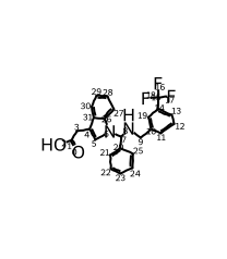 O=C(O)Cc1cn(C(NCc2cccc(C(F)(F)F)c2)c2ccccc2)c2ccccc12